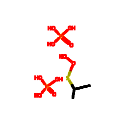 CC(C)SOO.O=P(O)(O)O.O=P(O)(O)O